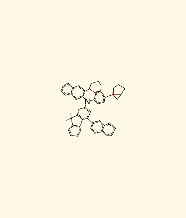 CC1(C)c2ccccc2-c2c(-c3ccc4ccccc4c3)cc(N(c3ccc(C4CC5CCC4C5)cc3)c3cc4ccccc4cc3C3CCCCC3)cc21